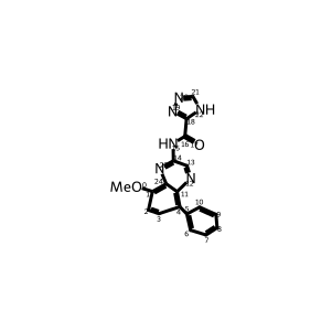 COc1ccc(-c2ccccc2)c2ncc(NC(=O)c3nnc[nH]3)nc12